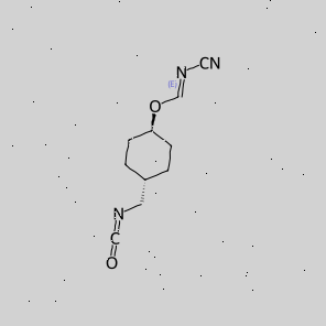 N#C/N=C/O[C@H]1CC[C@H](CN=C=O)CC1